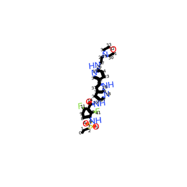 CCCS(=O)(=O)NC1=CCC(F)C(C(=O)Nc2cnc3[nH]c(-c4ccc(NCCN5CCOCC5)nc4)cc3c2)=C1F